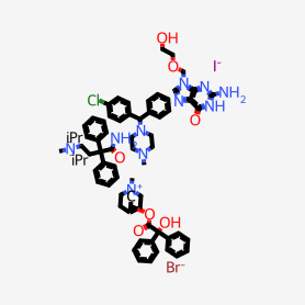 CC(C)[N+](C)(CCC(C(N)=O)(c1ccccc1)c1ccccc1)C(C)C.CN1CCN(C(c2ccccc2)c2ccc(Cl)cc2)CC1.C[N+]12CCC(CC1)C(OC(=O)C(O)(c1ccccc1)c1ccccc1)C2.Nc1nc2c(ncn2COCCO)c(=O)[nH]1.[Br-].[I-]